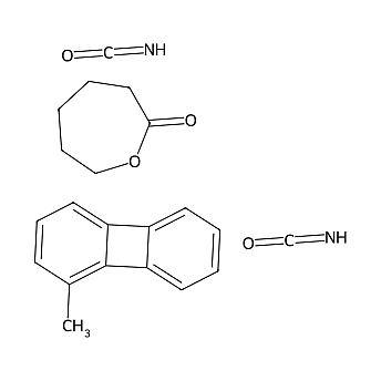 Cc1cccc2c1-c1ccccc1-2.N=C=O.N=C=O.O=C1CCCCCO1